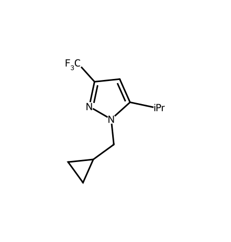 CC(C)c1cc(C(F)(F)F)nn1CC1CC1